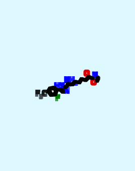 N[C@@H](CCCCCC(=O)c1ncco1)c1ncc(-c2ccc(C(F)(F)F)cc2F)[nH]1